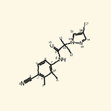 Cc1c(C#N)ccc(NC(=O)C(C)(C)n2cc(I)cn2)c1C